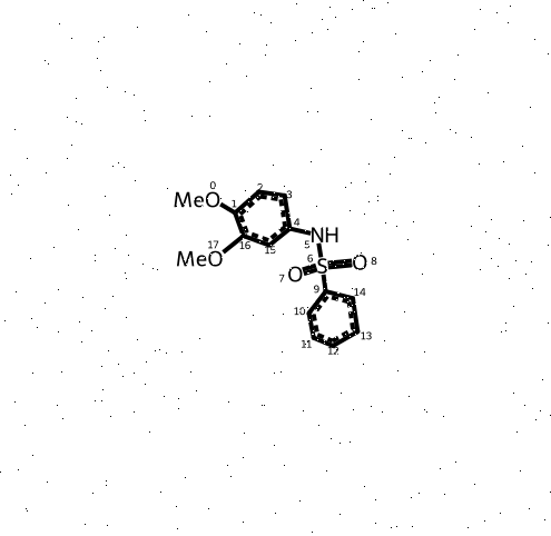 COc1ccc(NS(=O)(=O)c2ccccc2)cc1OC